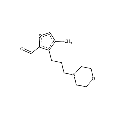 Cc1csc(C=O)c1CCCN1CCOCC1